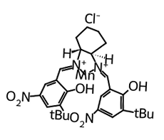 CC(C)(C)c1cc([N+](=O)[O-])cc(C=[N+]2[Mn][N+](=Cc3cc([N+](=O)[O-])cc(C(C)(C)C)c3O)[C@@H]3CCCC[C@H]32)c1O.[Cl-]